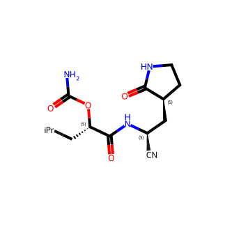 CC(C)C[C@H](OC(N)=O)C(=O)N[C@H](C#N)C[C@@H]1CCNC1=O